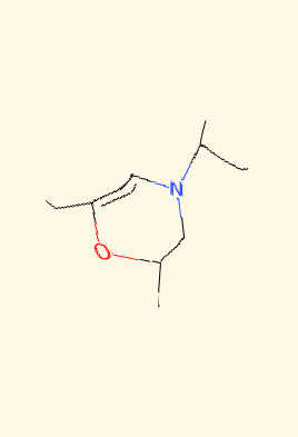 CC1=CN(C(C)C)CC(C)O1